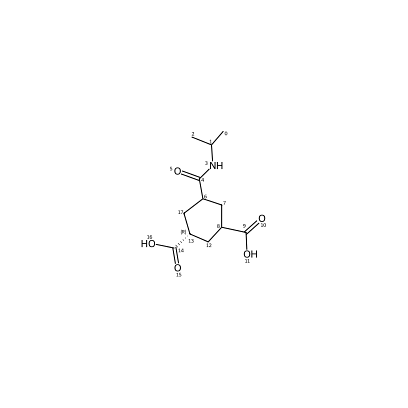 CC(C)NC(=O)C1CC(C(=O)O)C[C@H](C(=O)O)C1